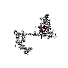 CC[C@H](C)[C@@H]([C@@H](CC(=O)N1CCC[C@H]1[C@H](OC)[C@@H](C)C(=O)N[C@H](C)[C@@H](O)c1ccccc1)OC)N(C)C(=O)[C@@H](NC(=O)[C@H](C(C)C)N(C)C(=O)OCc1ccc(OS(=O)(=O)OCC(C)(C)C)c(NC(=O)CCNC(=O)CCOCCOCCN(C(=O)OCC2c3ccccc3-c3ccccc32)C2CCN(C(=O)CCn3c(CN(C)N(C)C(=O)OCC4c5ccccc5-c5ccccc54)cc4cccnc43)CC2)c1)C(C)C